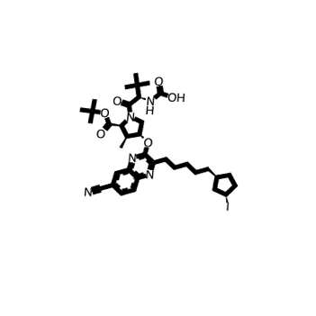 C[C@@H]1[C@@H](Oc2nc3cc(C#N)ccc3nc2CCCCC[C@H]2CC[C@H](I)C2)CN(C(=O)[C@@H](NC(=O)O)C(C)(C)C)[C@@H]1C(=O)OC(C)(C)C